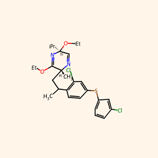 CCOC1=N[C@](OCC)(C(C)C)C=N[C@]1(C)CC(C)c1ccc(Sc2cccc(Cl)c2)cc1Cl